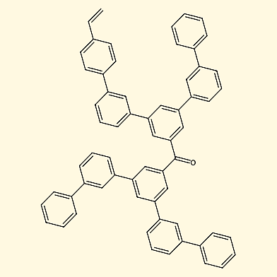 C=Cc1ccc(-c2cccc(-c3cc(C(=O)c4cc(-c5cccc(-c6ccccc6)c5)cc(-c5cccc(-c6ccccc6)c5)c4)cc(-c4cccc(-c5ccccc5)c4)c3)c2)cc1